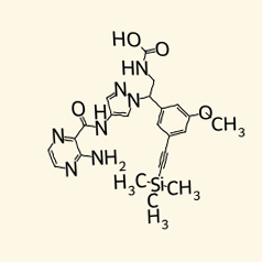 COc1cc(C#C[Si](C)(C)C)cc(C(CNC(=O)O)n2cc(NC(=O)c3nccnc3N)cn2)c1